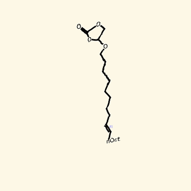 CCCCCCCC/C=C/CCCCCCCCOC1COC(=O)O1